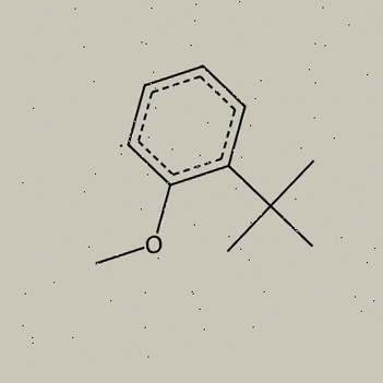 COc1[c]cccc1C(C)(C)C